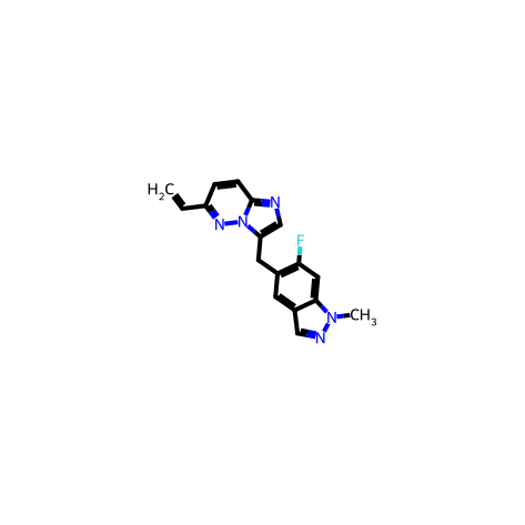 C=Cc1ccc2ncc(Cc3cc4cnn(C)c4cc3F)n2n1